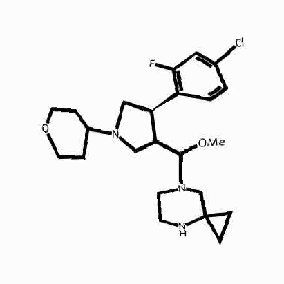 COC(C1CN(C2CCOCC2)C[C@H]1c1ccc(Cl)cc1F)N1CCNC2(CC2)C1